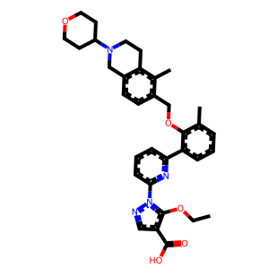 CCOc1c(C(=O)O)cnn1-c1cccc(-c2cccc(C)c2OCc2ccc3c(c2C)CCN(C2CCOCC2)C3)n1